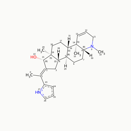 CC(=C1C[C@H]2[C@@H]3CC[C@H]4N(C)CC=C[C@]4(C)[C@H]3CC[C@]2(C)[C@H]1O)c1ccc[nH]1